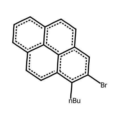 CCCCc1c(Br)cc2ccc3cccc4ccc1c2c34